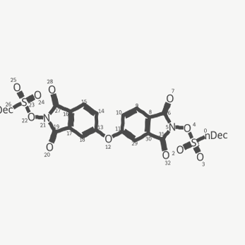 CCCCCCCCCCS(=O)(=O)ON1C(=O)c2ccc(Oc3ccc4c(c3)C(=O)N(OS(=O)(=O)CCCCCCCCCC)C4=O)cc2C1=O